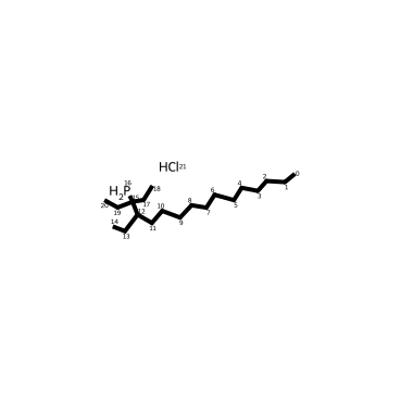 CCCCCCCCCCCCC(CC)C(P)(CC)CC.Cl